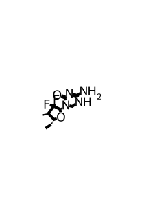 CC[C@H]1O[C@@H](N2CNC(N)=NC2=O)C(F)(F)[C@@H]1C